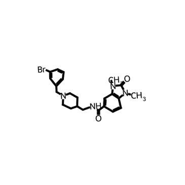 Cn1c(=O)n(C)c2cc(C(=O)NCC3CCN(Cc4cccc(Br)c4)CC3)ccc21